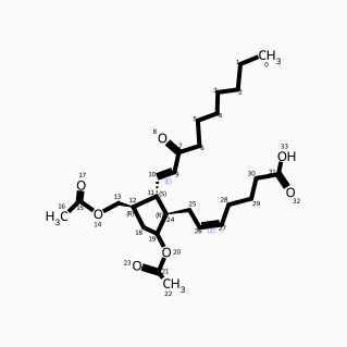 CCCCCCCC(=O)/C=C/[C@H]1[C@H](COC(C)=O)CC(OC(C)=O)[C@@H]1C/C=C\CCCC(=O)O